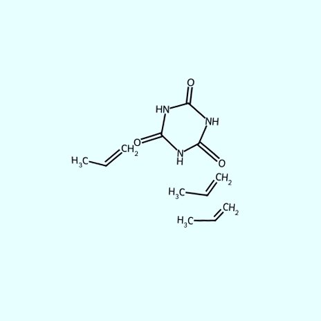 C=CC.C=CC.C=CC.O=c1[nH]c(=O)[nH]c(=O)[nH]1